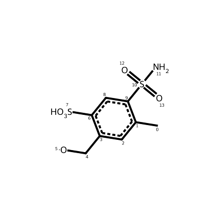 Cc1cc(C[O])c(S(=O)(=O)O)cc1S(N)(=O)=O